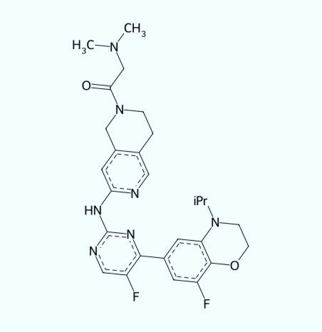 CC(C)N1CCOc2c(F)cc(-c3nc(Nc4cc5c(cn4)CCN(C(=O)CN(C)C)C5)ncc3F)cc21